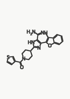 Cc1c(-c2nc(C3CCN(C(=O)c4ccsc4)CC3)[nH]c2C(=N)N)oc2ccccc12